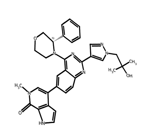 Cn1cc(-c2ccc3nc(-c4cnn(CC(C)(C)O)c4)nc(N4CCOC[C@@H]4c4ccccc4)c3c2)c2cc[nH]c2c1=O